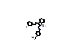 Cc1ccc(/C=C/c2[nH]c3ccccc3c2/C=C/c2cccc(F)c2)cc1